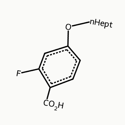 CCCCCCCOc1ccc(C(=O)O)c(F)c1